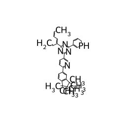 C=C/C(=C\C=C/C)c1nc(C2=CPCC=C2)nc(-c2ccc(-c3ccc4c(c3)C(C)(C)C(C)(C)C4(C)C)nc2)n1